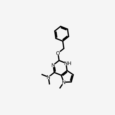 CN(C)C1=NC(OCc2ccccc2)Nc2ccn(C)c21